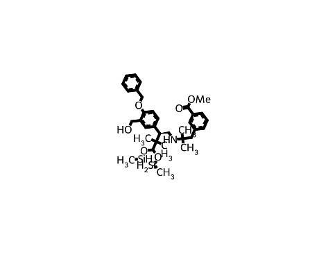 COC(=O)c1cccc(CC(C)(C)NC[C@H](c2ccc(OCc3ccccc3)c(CO)c2)C(C)(C)C(O[SiH2]C)O[SiH2]C)c1